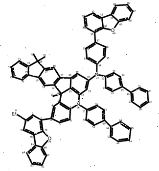 CCc1cc(-c2ccc3c(c2)C2(C)c4cc5c(cc4-c4cc(N(c6ccc(-c7ccccc7)cc6)c6ccc(-c7cccc8c7oc7ccccc78)cc6)cc(c42)N3c2ccc(-c3ccccc3)cc2)C(C)(C)c2ccccc2-5)c2oc3ccccc3c2c1